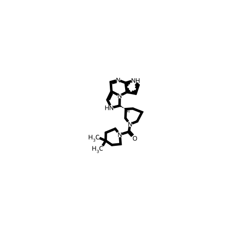 CC1(C)CCN(C(=O)N2CCC[C@@H](C3NC=C4C=Nc5[nH]ccc5N43)C2)CC1